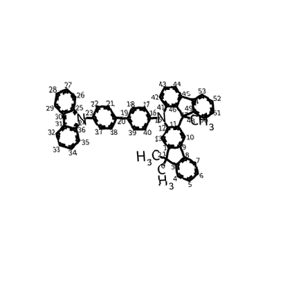 CC1(C)c2ccccc2-c2cc3c(cc21)N(c1ccc(-c2ccc(-n4c5ccccc5c5ccccc54)cc2)cc1)c1cccc2c1C3(C)c1ccccc1-2